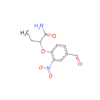 CCC(Oc1ccc(C=O)cc1[N+](=O)[O-])C(N)=O